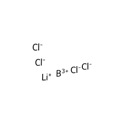 [B+3].[Cl-].[Cl-].[Cl-].[Cl-].[Li+]